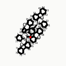 c1ccc(N(c2cc3c(s2)C2(c4ccccc4Oc4ccccc42)c2cc(N(c4ccccc4)c4cccc5c4oc4ccccc45)sc2C32c3ccccc3Oc3ccccc32)c2cccc3c2oc2ccccc23)cc1